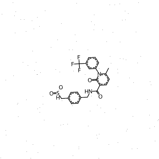 Cc1ccc(C(=O)NCc2ccc(C[SH](=O)=O)cc2)c(=O)n1-c1cccc(C(F)(F)F)c1